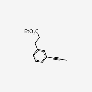 CC#Cc1cccc(CCC(=O)OCC)c1